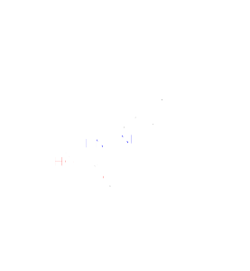 CCCCCNNC(=O)O